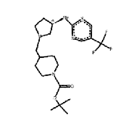 CC(C)(C)OC(=O)N1CCC(CN2CC[C@@H](Nc3ncc(C(F)(F)F)cn3)C2)CC1